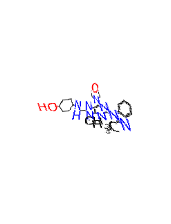 Cc1nc2ccccc2n1-c1nc(N2CCOCC2)c2nc(CNC3CCC(O)CC3)n(C)c2n1